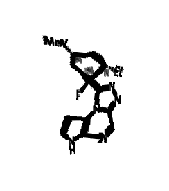 CC[C@H]1C[C@@H](NC)C[C@@]1(F)c1nnc2cnc3[nH]ccc3n12